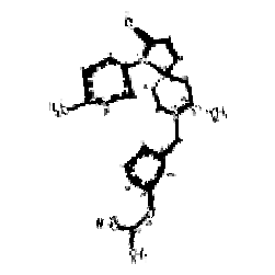 Cc1ccc(N2C(=O)C=C[C@]23CCN(Cc2cccc(OC(C)C)c2)[C@@H](C)C3)cn1